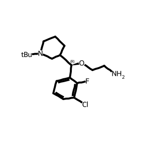 CC(C)(C)N1CCCC([C@@H](OCCN)c2cccc(Cl)c2F)C1